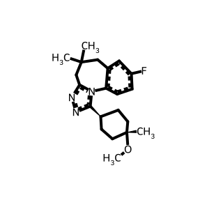 CO[C@]1(C)CC[C@@H](c2nnc3n2-c2ccc(F)cc2CC(C)(C)C3)CC1